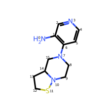 Nc1cnccc1N1CCN2SCCC2C1